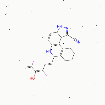 C=C(I)/C(O)=C(I)\C=C\C1NC2=C(C3=C1CCCC3)C1C(C#N)=NNC1C=C2